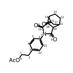 CC(=O)OCCc1ccc(N2C(=O)C3C4CCC(C(=O)C4)C3C2=O)cc1